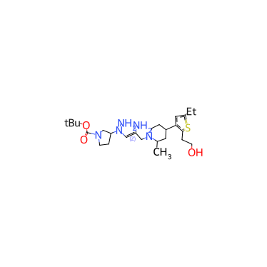 CCc1cc(C2CCN(C/C(N)=C/N(N)C3CCN(C(=O)OC(C)(C)C)C3)C(C)C2)c(CCO)s1